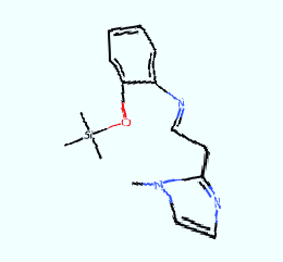 Cn1ccnc1CC=Nc1ccccc1O[Si](C)(C)C